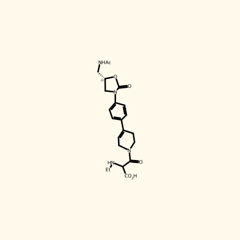 CCNC(C(=O)O)C(=O)N1CC=C(c2ccc(N3C[C@H](CNC(C)=O)OC3=O)cc2)CC1